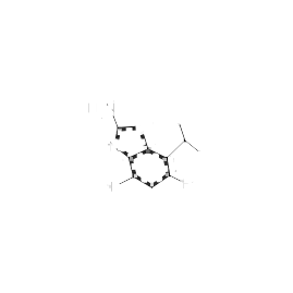 CC(C)c1c(F)cc(F)c2nc(N)sc12